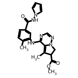 COC(=O)C1CN2N=CN=C(Nc3cc(C(=O)Nn4cccc4)ccc3C)C2=C1C